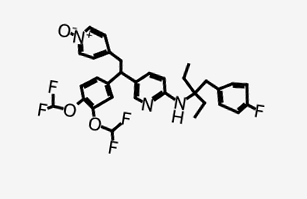 CCC(CC)(Cc1ccc(F)cc1)Nc1ccc(C(Cc2cc[n+]([O-])cc2)c2ccc(OC(F)F)c(OC(F)F)c2)cn1